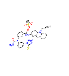 C#CC[n+]1c2c(cc3cc(NC(=O)c4cccc(N(C(N)=O)c5cccc(-n6nnnc6S)c5)c4)ccc31)CCCC2.O=S(=O)([O-])C(F)(F)F